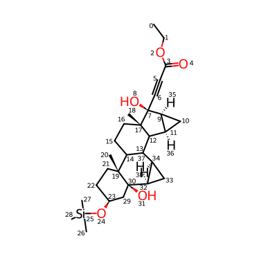 CCOC(=O)C#C[C@]1(O)[C@H]2C[C@H]2C2C3C(CC[C@@]21C)[C@@]1(C)CC[C@H](O[Si](C)(C)C)C[C@@]1(O)[C@@H]1C[C@H]31